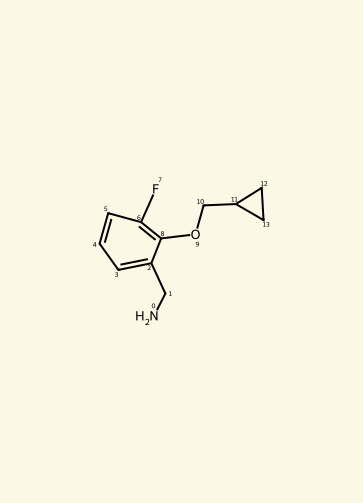 NCc1cccc(F)c1OCC1CC1